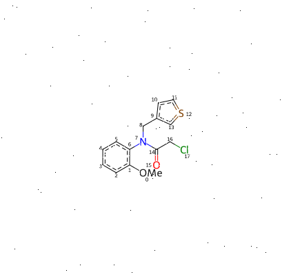 COc1ccccc1N(Cc1ccsc1)C(=O)CCl